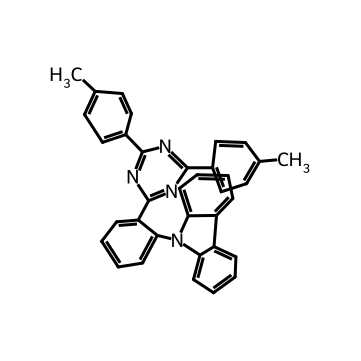 Cc1ccc(-c2nc(-c3ccc(C)cc3)nc(-c3ccccc3-n3c4ccccc4c4ccccc43)n2)cc1